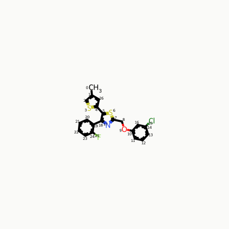 Cc1csc(-c2sc(COc3cccc(Cl)c3)nc2-c2ccccc2F)c1